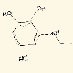 CCNc1cccc(O)c1O.Cl